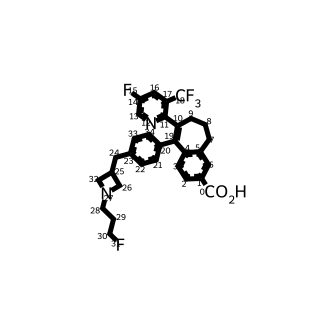 O=C(O)c1ccc2c(c1)CCCC(c1ncc(F)cc1C(F)(F)F)=C2c1ccc(CC2CN(CCCF)C2)cc1